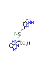 O=C(O)[C@H](CCC(F)(F)CCCCc1ccc2c(n1)NCCC2)Nc1ncnc2ccccc12